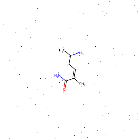 CC(=CCC(C)N)C(N)=O